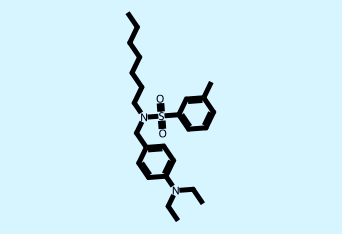 CCCCCCCN(Cc1ccc(N(CC)CC)cc1)S(=O)(=O)c1cccc(C)c1